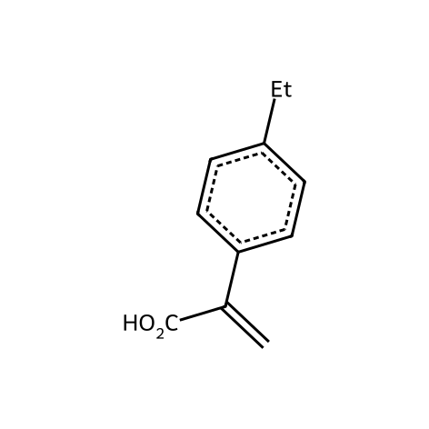 C=C(C(=O)O)c1ccc(CC)cc1